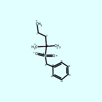 CCCC(C)(C)S(=O)(=O)Cc1ccccc1